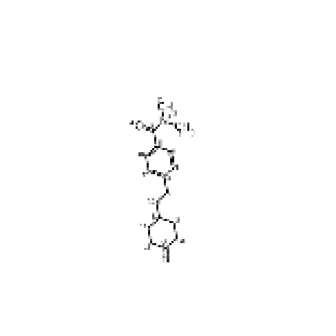 CN(C)C(=O)c1ccc(C[CH]C2CCNCC2)cc1